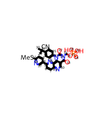 CSc1ccc(-c2ccc3ncc4c(=O)n(COP(=O)(O)O)c(=O)n(-c5ccc(C(C)(C)C#N)cc5)c4c3n2)cn1